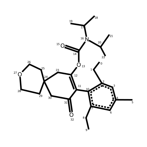 CCc1cc(C)cc(CC)c1C1=C(OC(=O)N(C(C)C)C(C)C)CC2(CCOCC2)CC1=O